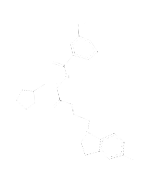 Cc1cccc(C(=O)N[C@@H](CC2CCCC2)C(=O)NCCN2CCc3cc(F)ccc32)c1